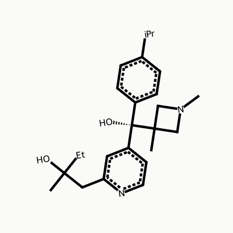 CCC(C)(O)Cc1cc([C@@](O)(c2ccc(C(C)C)cc2)C2(C)CN(C)C2)ccn1